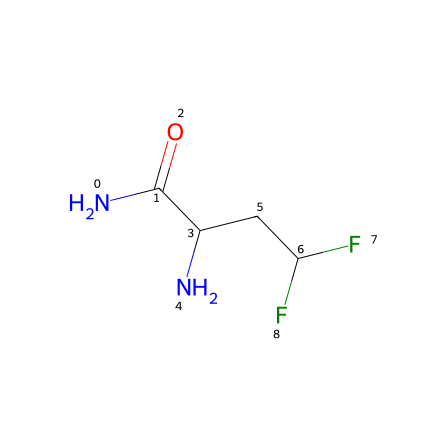 NC(=O)C(N)CC(F)F